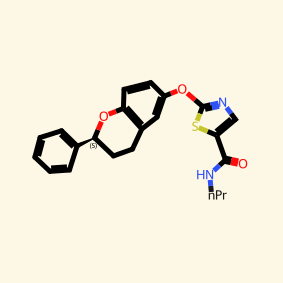 CCCNC(=O)c1cnc(Oc2ccc3c(c2)CC[C@@H](c2ccccc2)O3)s1